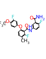 Cc1ccc(Oc2ccc(OC(F)(F)F)c(F)c2)c(C(=O)Nc2ccc(F)c(C(N)=O)c2)c1F